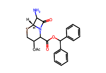 CC(=O)OC1CS[C@@H]2C(N)C(=O)N2C1C(=O)OC(c1ccccc1)c1ccccc1